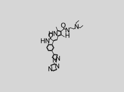 CCN(CC)CCNC(=O)c1c(C)[nH]c(/C=C2\C(=O)Nc3ccc(-c4cnn(-c5cnccn5)c4)cc32)c1C